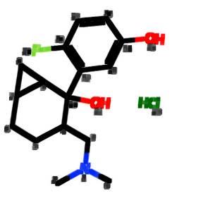 CN(C)CC1CCC2CC2C1(O)c1cc(O)ccc1F.Cl